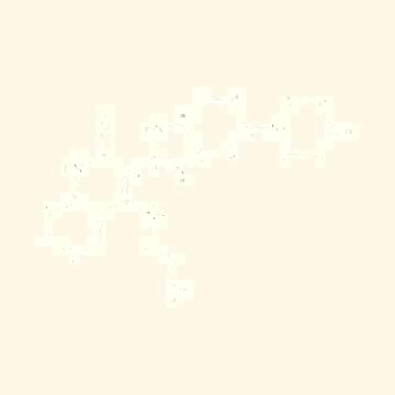 O=c1[nH]c2ccccc2c(NCCO)c1-c1nc2cc(N3CCOCC3)ccc2[nH]1